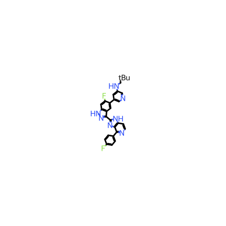 CC(C)(C)CNc1cncc(-c2cc3c(-c4nc5c(-c6ccc(F)cc6)nccc5[nH]4)n[nH]c3cc2F)c1